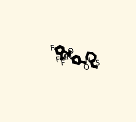 O=C(Nc1ccc(C(=O)N2CCCCc3sccc32)cc1)c1ccc(F)cc1C(F)(F)F